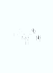 Cc1ccccc1-c1cnc2[nH]cc(-c3ccn4ncc(-c5cnn(C)c5)c4c3)c2c1